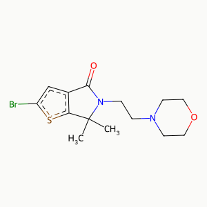 CC1(C)c2sc(Br)cc2C(=O)N1CCN1CCOCC1